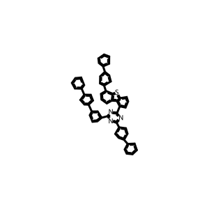 c1ccc(-c2ccc(-c3cccc(-c4nc(-c5ccc(-c6ccccc6)cc5)nc(-c5cccc6sc7c(-c8ccc(-c9ccccc9)cc8)cccc7c56)n4)c3)cc2)cc1